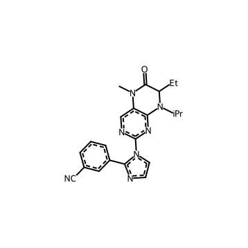 CCC1C(=O)N(C)c2cnc(-n3ccnc3-c3cccc(C#N)c3)nc2N1C(C)C